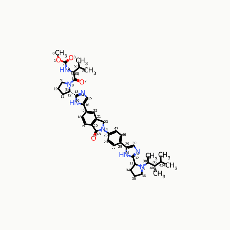 COC(=O)N[C@H](C(=O)N1CCC[C@H]1c1ncc(-c2ccc3c(c2)CN(c2ccc(-c4cnc(C5CCCN5C(C)[C@H](C)C(C)C)[nH]4)cc2)C3=O)[nH]1)C(C)C